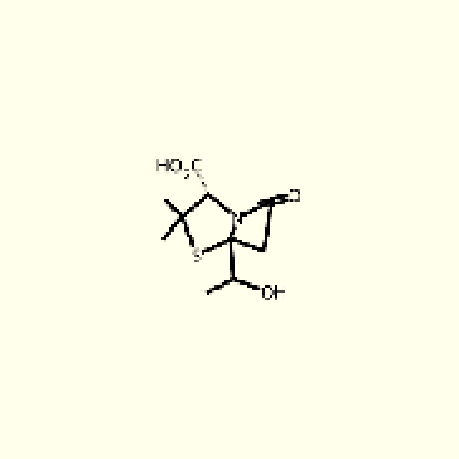 CC(O)C12CC(=O)N1[C@@H](C(=O)O)C(C)(C)S2